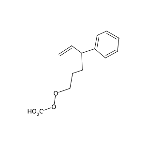 C=CC(CCCOOC(=O)O)c1ccccc1